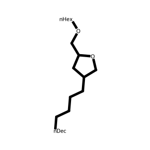 [CH2]CCCCCOCC1CC(CCCCCCCCCCCCCC)CO1